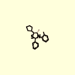 Cc1ccccc1N1C(c2ccccc2)SC(C2CCCC2)[C@@H]1C